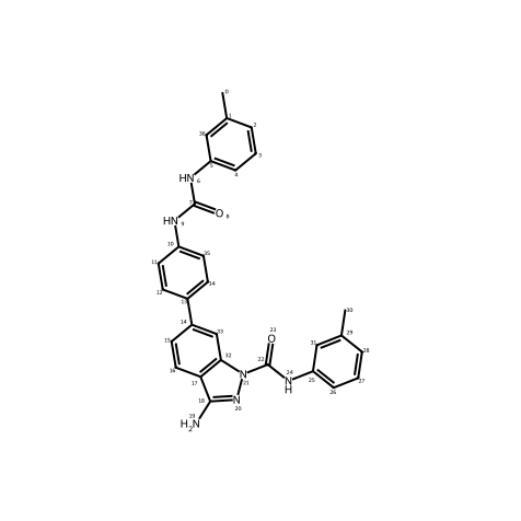 Cc1cccc(NC(=O)Nc2ccc(-c3ccc4c(N)nn(C(=O)Nc5cccc(C)c5)c4c3)cc2)c1